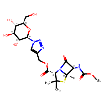 CC(C)(C)OC(=O)N[C@@H]1C(=O)N2[C@@H]1SC(C)(C)[C@@H]2C(=O)OCc1cn([C@@H]2O[C@H](CO)[C@@H](O)[C@H](O)[C@H]2O)nn1